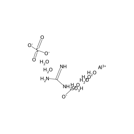 N=C(N)N.O.O.O.O.O.O.O=S(=O)([O-])O.O=S(=O)([O-])[O-].[Al+3]